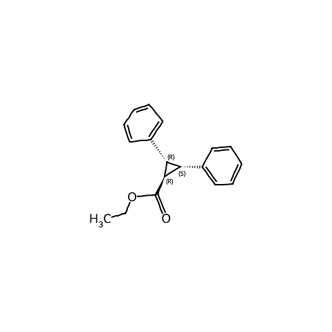 CCOC(=O)[C@@H]1[C@@H](c2ccccc2)[C@H]1c1ccccc1